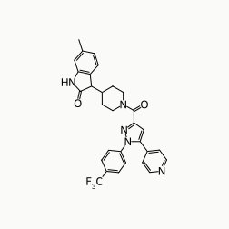 Cc1ccc2c(c1)NC(=O)C2C1CCN(C(=O)c2cc(-c3ccncc3)n(-c3ccc(C(F)(F)F)cc3)n2)CC1